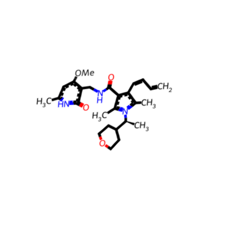 C=C/C=C\c1c(C(=O)NCc2c(OC)cc(C)[nH]c2=O)c(C)n([C@@H](C)C2CCOCC2)c1C